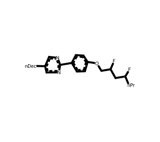 CCCCCCCCCCc1cnc(-c2ccc(OCC(F)CC(F)CCC)cc2)nc1